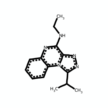 CCNc1nc2ccccc2n2c(C(C)C)nnc12